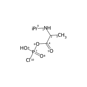 CC(C)NC(C)C(=O)OP(=O)(O)Cl